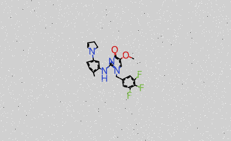 COc1cn(Cc2cc(F)c(F)c(F)c2)c(Nc2cc(N3C=CCC3)ccc2C)nc1=O